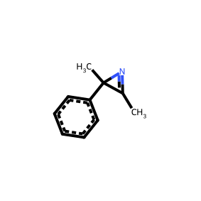 CC1=NC1(C)c1ccccc1